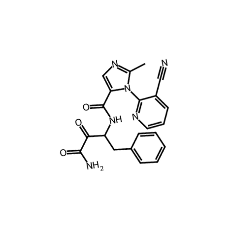 Cc1ncc(C(=O)NC(Cc2ccccc2)C(=O)C(N)=O)n1-c1ncccc1C#N